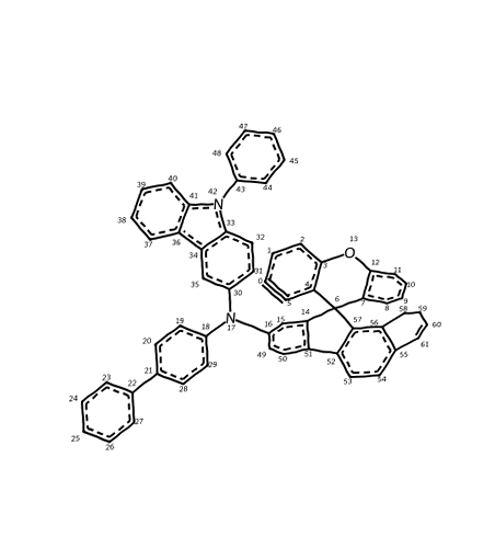 c1ccc2c(c#1)C1(c3ccccc3O2)c2cc(N(c3ccc(-c4ccccc4)cc3)c3ccc4c(c3)c3ccccc3n4-c3ccccc3)ccc2-c2ccc3c(c21)CCC=C3